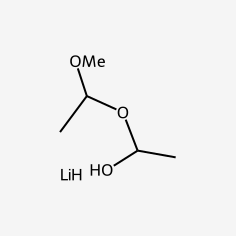 COC(C)OC(C)O.[LiH]